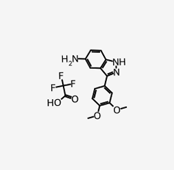 COc1ccc(-c2n[nH]c3ccc(N)cc23)cc1OC.O=C(O)C(F)(F)F